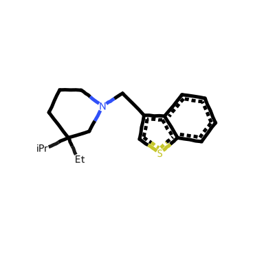 CCC1(C(C)C)CCCN(Cc2csc3ccccc23)C1